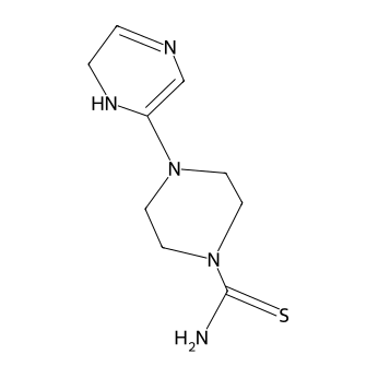 NC(=S)N1CCN(C2=CN=CCN2)CC1